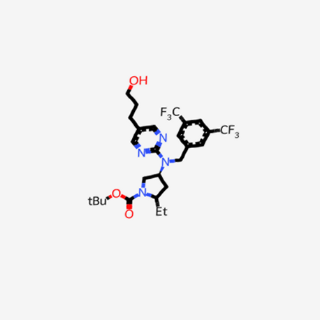 CCC1C[C@H](N(Cc2cc(C(F)(F)F)cc(C(F)(F)F)c2)c2ncc(CCCO)cn2)CN1C(=O)OC(C)(C)C